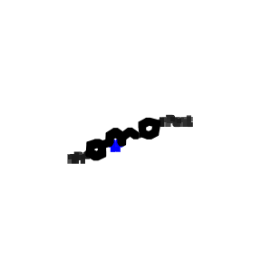 CCCCC[C@H]1CC[C@H](CCc2ccc(-c3ccc(CCC)cc3)nc2)CC1